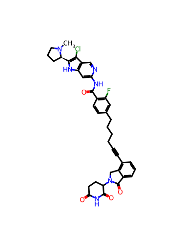 CN1CCC[C@@H]1c1[nH]c2cc(NC(=O)c3ccc(CCCCC#Cc4cccc5c4CN(C4CCC(=O)NC4=O)C5=O)cc3F)ncc2c1Cl